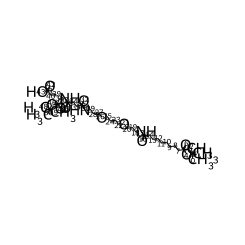 CC(C)(C)OC(=O)CCCCCCCCC(=O)NCCCOCCCCOCCCNC(=O)CCC(=O)N[C@@H](CCC(=O)O)C(=O)OC(C)(C)C